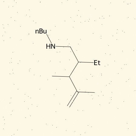 C=C(C)C(C)C(CC)CNCCCC